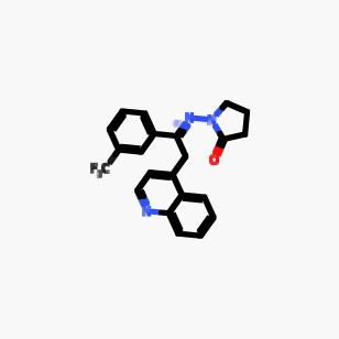 O=C1CCCN1/N=C(\Cc1ccnc2ccccc12)c1cccc(C(F)(F)F)c1